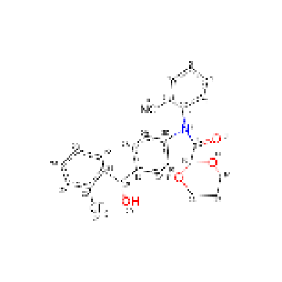 N#Cc1ccccc1N1C(=O)C2(OCCCO2)c2cc([C@H](O)c3ccccc3C(F)(F)F)ccc21